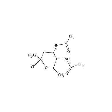 CC1OC(Cl)([AsH2])CC(NC(=O)C(F)(F)F)C1NC(=O)C(F)(F)F